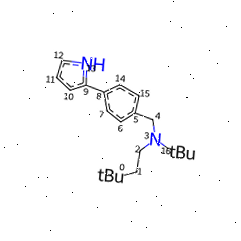 CC(C)(C)CCN(Cc1ccc(-c2ccc[nH]2)cc1)C(C)(C)C